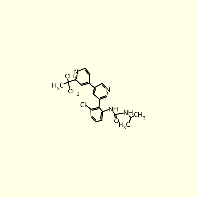 CC(C)NC(=O)Nc1cccc(Cl)c1-c1cncc(-c2ccnc(C(C)(C)C)c2)c1